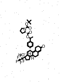 CC(OC(=O)[C@@H]1CCCN1C(=O)OC(C)(C)C)c1ccc([C@H]2C[C@@]3(C)[C@@H](CC[C@@]3(O)C(F)(F)C(F)(F)F)[C@@H]3CCC4=CC(=O)CCC4=C32)cc1